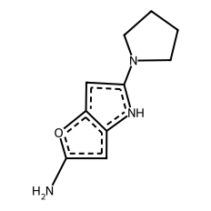 Nc1cc2[nH]c(N3CCCC3)cc2o1